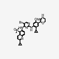 COc1cc(Nc2ncc(Br)c(Nc3ccc4nc(C5CC5)ccc4c3P(C)(C)=O)n2)c(C2CC2)cc1C1CNCCO1